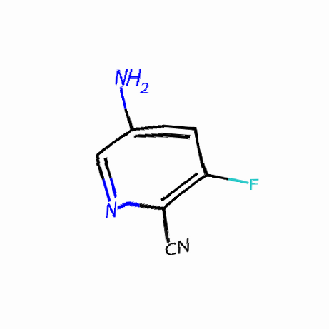 N#Cc1ncc(N)cc1F